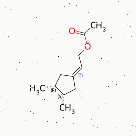 CC(=O)OC/C=C1\C[C@@H](C)[C@@H](C)C1